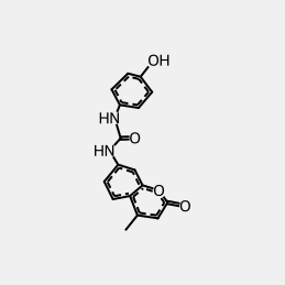 Cc1cc(=O)oc2cc(NC(=O)Nc3ccc(O)cc3)ccc12